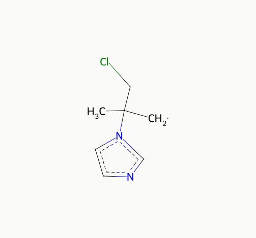 [CH2]C(C)(CCl)n1ccnc1